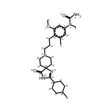 COc1cc(N(C)C(N)=O)cc(C)c1CCCN1CCC2(CC1)N=C(C1CCC(C)CC1)NC2=O